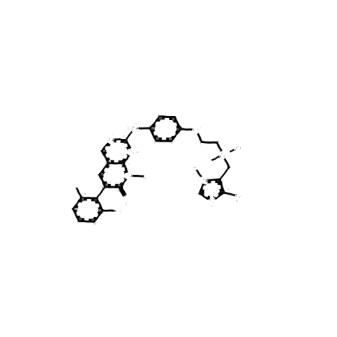 CC[N+](CC)(CCOc1ccc(Nc2ncc3cc(-c4c(Cl)cccc4Cl)c(=O)n(C)c3n2)cc1)Cc1c([N+](=O)[O-])ncn1C